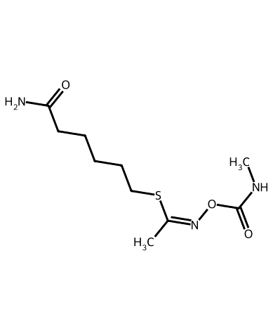 CNC(=O)ON=C(C)SCCCCCC(N)=O